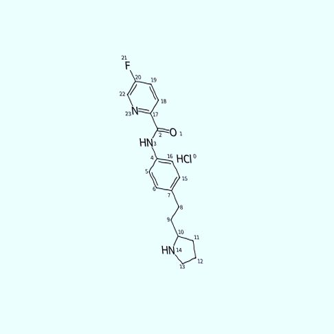 Cl.O=C(Nc1ccc(CCC2CCCN2)cc1)c1ccc(F)cn1